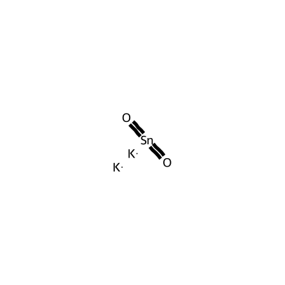 [K].[K].[O]=[Sn]=[O]